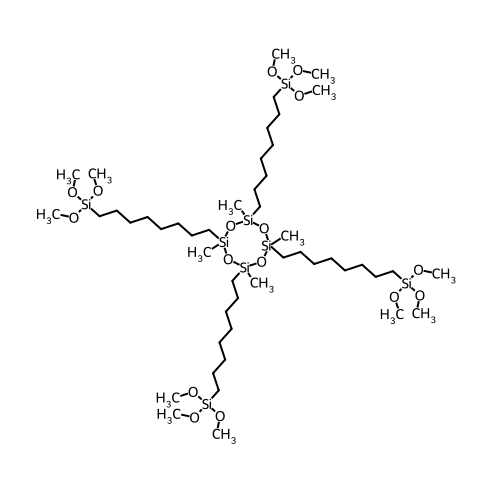 CO[Si](CCCCCCCC[Si]1(C)O[Si](C)(CCCCCCCC[Si](OC)(OC)OC)O[Si](C)(CCCCCCCC[Si](OC)(OC)OC)O[Si](C)(CCCCCCCC[Si](OC)(OC)OC)O1)(OC)OC